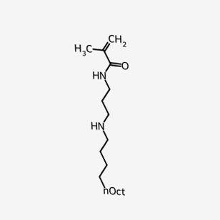 C=C(C)C(=O)NCCCNCCCCCCCCCCCC